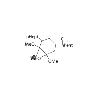 CCCCCC.CCCCCCCC1CCC[Si](OC)(OC)C1(CCC)OC